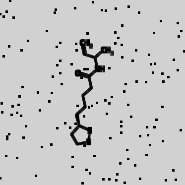 C=CC(C)NC(=O)CCCC[C@@H]1CCSS1